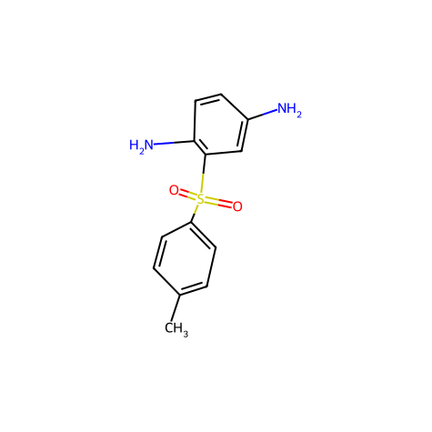 Cc1ccc(S(=O)(=O)c2cc(N)ccc2N)cc1